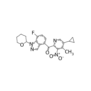 Cc1c(C2CC2)cnc(C(=O)c2ccc(F)c3c2cnn3C2CCCCO2)c1[N+](=O)[O-]